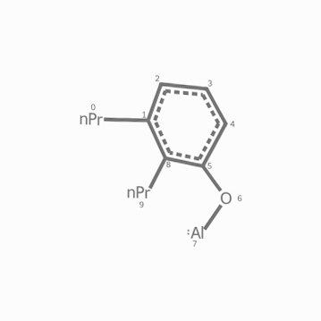 CCCc1cccc([O][Al])c1CCC